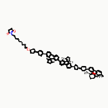 CCCC12CCCC(CCC)(CCC1)C21c2cc(C)ccc2-c2ccc(-c3ccc(-c4ccc(-c5ccc6c(c5)C5(c7cc(-c8ccc9c(c8)C8(c%10cc(-c%11ccc(-c%12ccc(OCCCCCCCCCCN%13C(=O)C=CC%13=O)cc%12)cc%11)ccc%10-9)C9(C)CCC8(C)CC9)ccc7-6)C6(CC)CCC5(CC)CC6)cc4)cc3)cc21